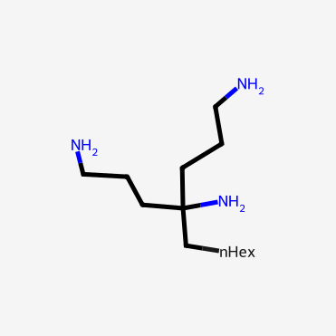 CCCCCCCC(N)(CCCN)CCCN